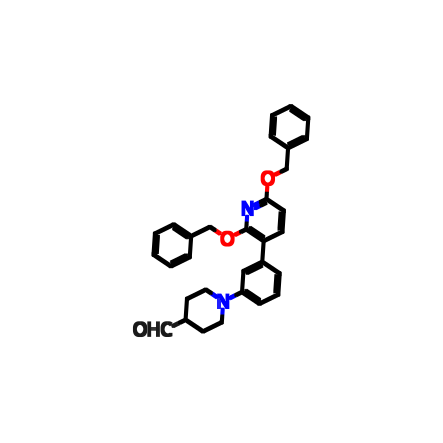 O=CC1CCN(c2cccc(-c3ccc(OCc4ccccc4)nc3OCc3ccccc3)c2)CC1